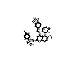 COc1ccc2oc(=O)cc(N(Cc3ccc4c(c3)OCO4)C3CCNCC3)c2c1.Cc1ccc(S(=O)(=O)O)cc1